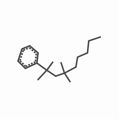 CCCCCC(C)(C)CC(C)(C)c1cc[c]cc1